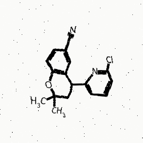 CC1(C)CC(c2cccc(Cl)n2)c2cc(C#N)ccc2O1